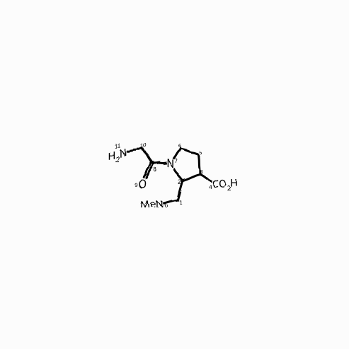 CNCC1C(C(=O)O)CCN1C(=O)CN